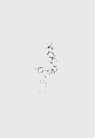 O=C(CNCCCO)NC(Sc1ncccc1C(=O)Nc1ccc(OC(F)(F)F)cc1)c1ccncc1